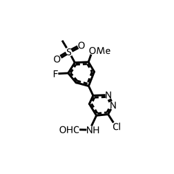 COc1cc(-c2cc(NC=O)c(Cl)nn2)cc(F)c1S(C)(=O)=O